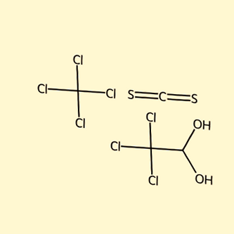 ClC(Cl)(Cl)Cl.OC(O)C(Cl)(Cl)Cl.S=C=S